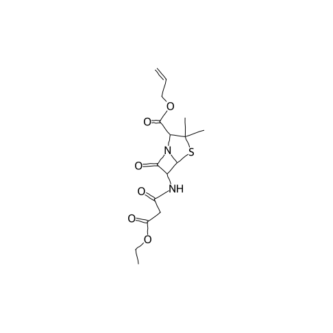 C=CCOC(=O)C1N2C(=O)C(NC(=O)CC(=O)OCC)C2SC1(C)C